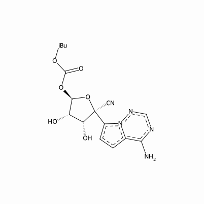 CCC(C)OC(=O)O[C@H]1O[C@@](C#N)(c2ccc3c(N)ncnn23)[C@H](O)[C@@H]1O